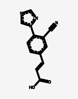 N#Cc1cc(/C=C/C(=O)O)ccc1-n1cncn1